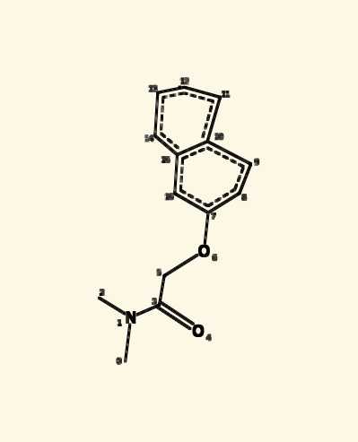 CN(C)C(=O)COc1ccc2c[c]ccc2c1